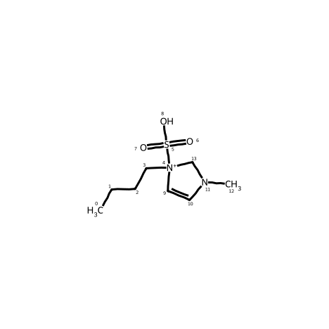 CCCC[N+]1(S(=O)(=O)O)C=CN(C)C1